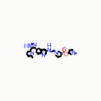 Cc1cccc(-c2[nH]cnc2-c2ccc3ncc(NCCN4CCC[C@@H](C(=O)O[C@H]5CCN(C)C5)C4)cc3c2)n1